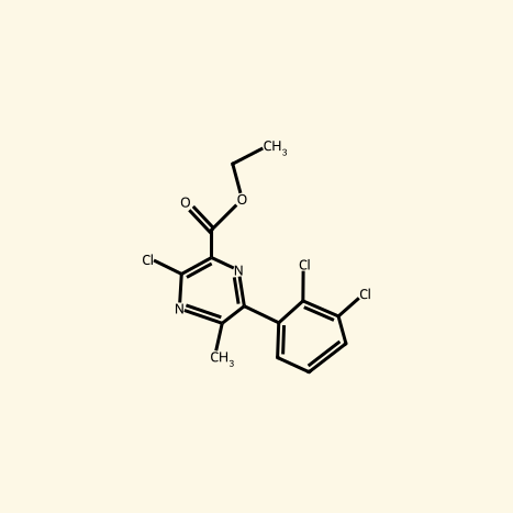 CCOC(=O)c1nc(-c2cccc(Cl)c2Cl)c(C)nc1Cl